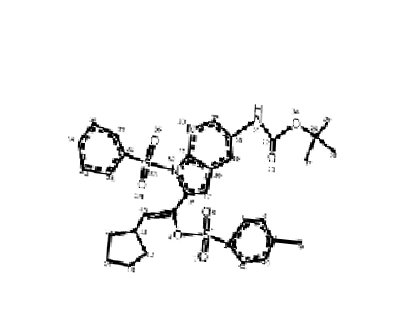 Cc1ccc(S(=O)(=O)O/C(=C\C2CCCC2)c2cc3cc(NC(=O)OC(C)(C)C)cnc3n2S(=O)(=O)c2ccccc2)cc1